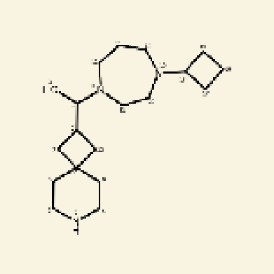 OC(C1CC2(CCNCC2)C1)N1CCCN(C2CCC2)CC1